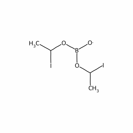 CC(I)OB([O])OC(C)I